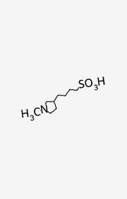 CN1CCC(CCCCS(=O)(=O)O)C1